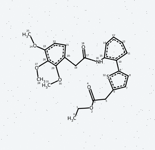 CCOC(=O)Cc1ccc(-c2ccccc2NC(=O)Cc2ccc(OC)c(OC)c2OC)s1